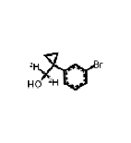 [2H]C([2H])(O)C1(c2cccc(Br)c2)CC1